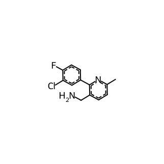 Cc1ccc(CN)c(-c2ccc(F)c(Cl)c2)n1